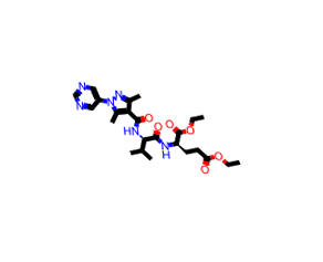 CCOC(=O)CC[C@@H](NC(=O)[C@@H](NC(=O)c1c(C)nn(-c2cncnc2)c1C)C(C)C)C(=O)OCC